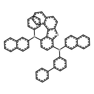 c1ccc(-c2cccc(N(c3ccc4ccccc4c3)c3ccc(N(c4ccccc4)c4ccc5ccccc5c4)c4c3sc3ccc5ccccc5c34)c2)cc1